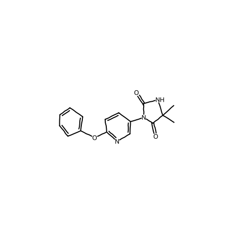 CC1(C)NC(=O)N(c2ccc(Oc3ccccc3)nc2)C1=O